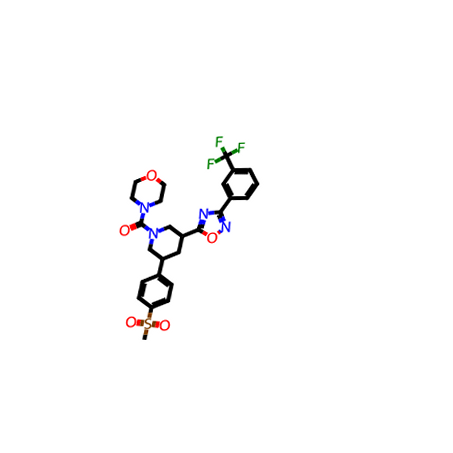 CS(=O)(=O)c1ccc(C2CC(c3nc(-c4cccc(C(F)(F)F)c4)no3)CN(C(=O)N3CCOCC3)C2)cc1